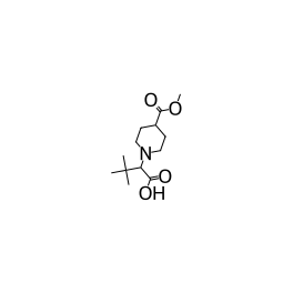 COC(=O)C1CCN(C(C(=O)O)C(C)(C)C)CC1